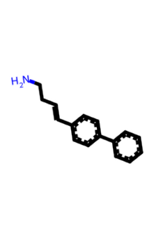 NCCC=Cc1ccc(-c2ccccc2)cc1